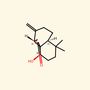 C=C1CC[C@H]2C(C)(C)CC[C@@H](O)C23C(=O)OC[C@@H]13